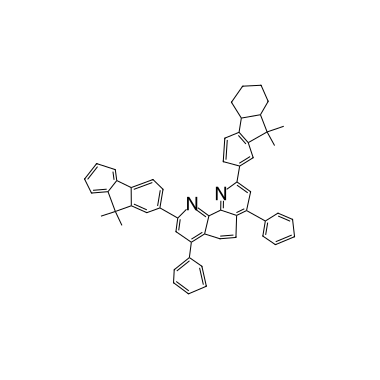 CC1(C)c2ccccc2-c2ccc(-c3cc(-c4ccccc4)c4ccc5c(-c6ccccc6)cc(-c6ccc7c(c6)C(C)(C)C6CCCCC76)nc5c4n3)cc21